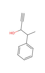 C#CC(O)C(C)c1ccccc1